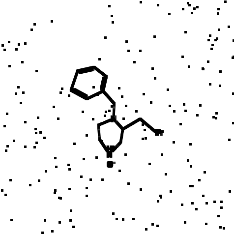 CC(C)CC1C[NH+]([O-])CCN1Cc1ccccc1